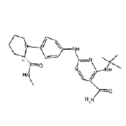 CNC(=O)[C@@H]1CCCCN1c1ccc(Nc2ncc(C(N)=O)c(NC(C)(C)C)n2)cc1